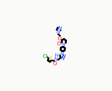 O=C(NCc1cn(-c2ccc(-n3cccc(OCCn4ccnc4)c3=O)cc2)nn1)c1ccc(Cl)s1